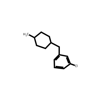 CC1CCC(Cc2cccc(Cl)c2)CC1